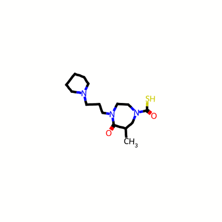 CC1CN(C(=O)S)CCN(CCCN2CCCCC2)C1=O